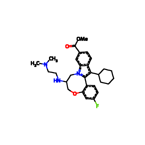 COC(=O)c1ccc2c(C3CCCCC3)c3n(c2c1)CC(NCCN(C)C)COc1cc(F)ccc1-3